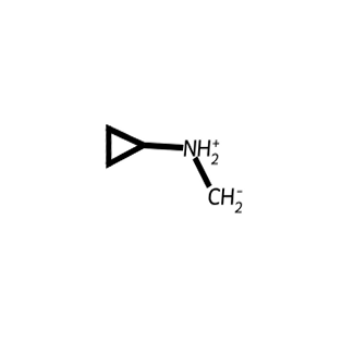 [CH2-][NH2+]C1CC1